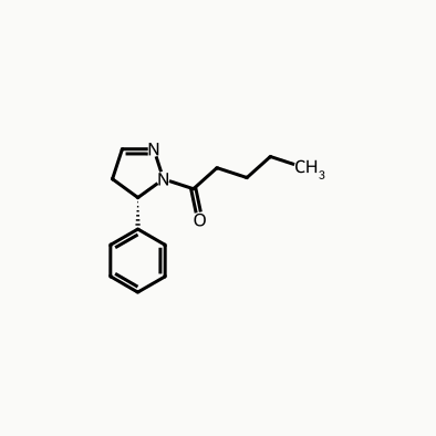 CCCCC(=O)N1N=CC[C@H]1c1ccccc1